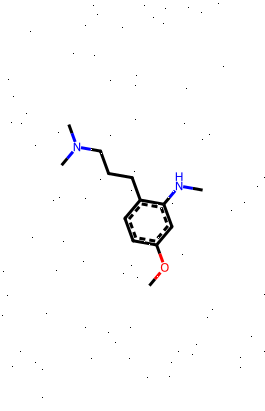 CNc1cc(OC)ccc1CCCN(C)C